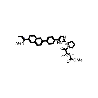 C/C=C(\NC)c1ccc2cc(-c3ccc(-c4cnc([C@@H]5CCCN5C(=O)[C@@H](NC(=O)OC)C(C)C)[nH]4)cc3)ccc2c1